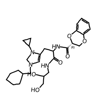 O=C(NCC(O)CO)C(CC1=CN(CC2CCCCC2)CN1C1CC1)NC(=O)[C@H]1COc2ccccc2O1